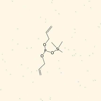 C=CCOP(OCC=C)O[Si](C)(C)C